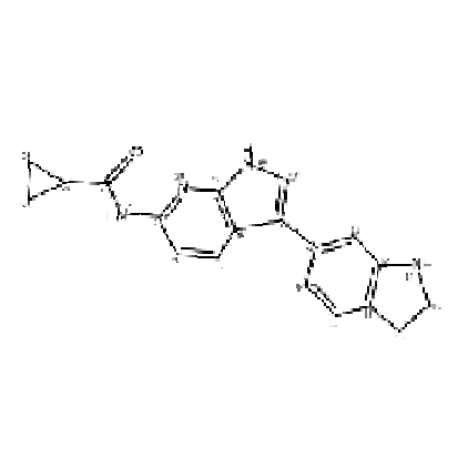 O=C(Nc1ccc2c(-c3ccc4c(c3)NCC4)c[nH]c2n1)C1CC1